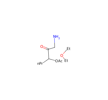 CCCC(OC(C)=O)C(=O)CN.CCOCC